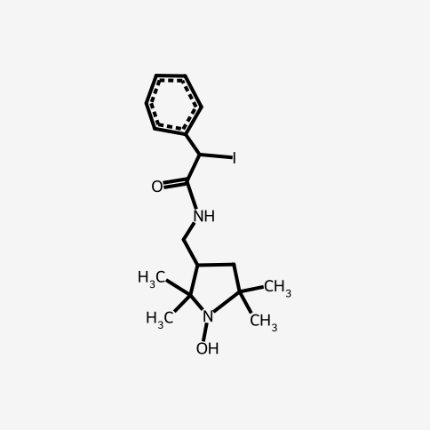 CC1(C)CC(CNC(=O)C(I)c2ccccc2)C(C)(C)N1O